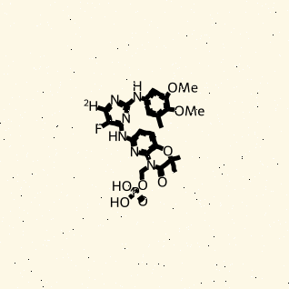 [2H]c1nc(Nc2cc(C)c(OC)c(OC)c2)nc(Nc2ccc3c(n2)N(COP(=O)(O)O)C(=O)C(C)(C)O3)c1F